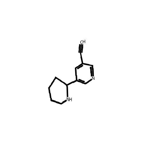 C#Cc1cncc(C2CCCCN2)c1